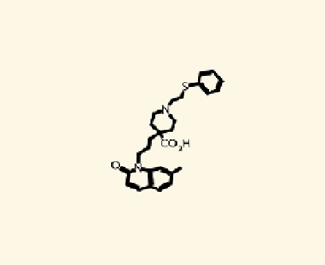 Cc1ccc2ccc(=O)n(CCCC3(C(=O)O)CCN(CCSc4ccccc4)CC3)c2c1